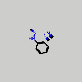 C#N.C#N.C=NNc1ccccc1